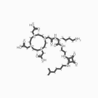 CC(C)CCCCNc1c(NCCNC(=O)[C@@H](CCCCN)NC(=O)CN2CCN(CC(=O)O)CCN(CC(=O)O)CCN(CC(=O)O)CC2)c(=O)c1=O